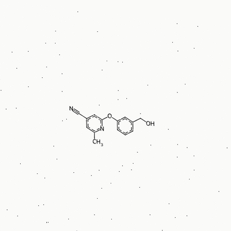 Cc1cc(C#N)cc(Oc2cccc(CO)c2)n1